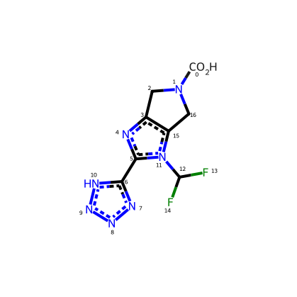 O=C(O)N1Cc2nc(-c3nnn[nH]3)n(C(F)F)c2C1